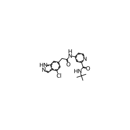 CC(C)(C)NC(=O)c1cc(NC(=O)Cc2cc(Cl)c3cn[nH]c3c2)ccn1